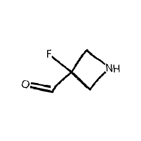 O=CC1(F)CNC1